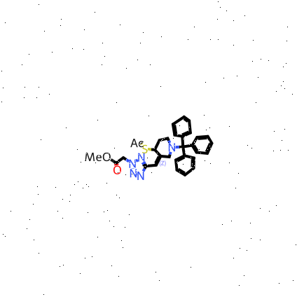 COC(=O)Cn1nnc(/C=C2/CN(C(c3ccccc3)(c3ccccc3)c3ccccc3)CCC2SC(C)=O)n1